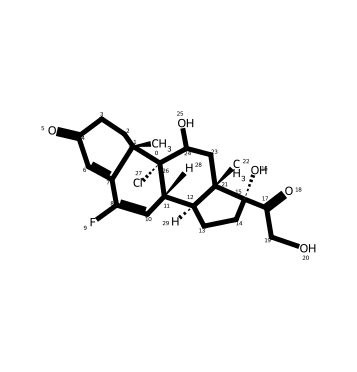 C[C@]12CCC(=O)C=C1C(F)=C[C@H]1[C@@H]3CC[C@](O)(C(=O)CO)[C@@]3(C)CC(O)[C@@]12Cl